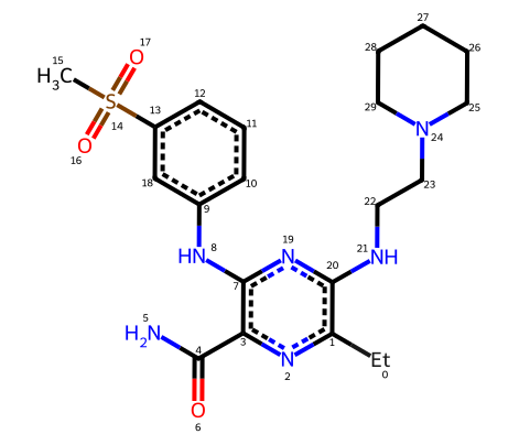 CCc1nc(C(N)=O)c(Nc2cccc(S(C)(=O)=O)c2)nc1NCCN1CCCCC1